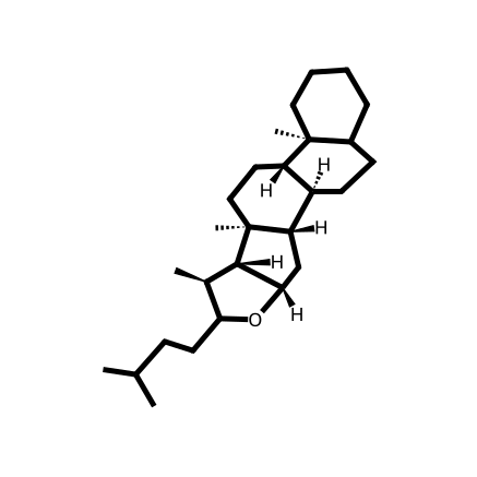 CC(C)CCC1O[C@H]2C[C@H]3[C@@H]4CCC5CCCC[C@]5(C)[C@H]4CC[C@]3(C)[C@H]2[C@@H]1C